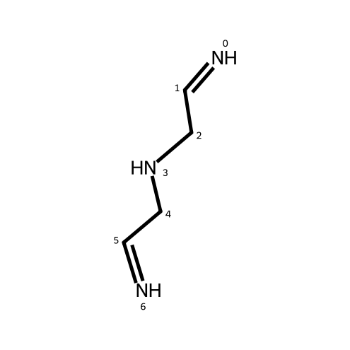 N=CCNCC=N